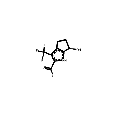 O=C(O)c1[nH]c2c(c1C(F)(F)F)CC[C@H]2O